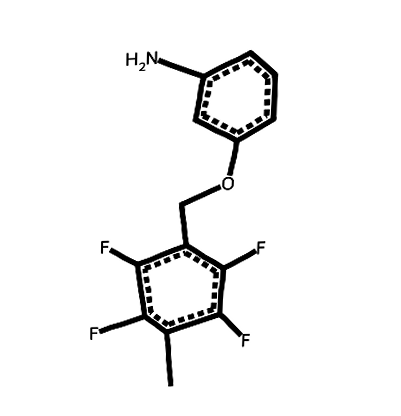 Cc1c(F)c(F)c(COc2cccc(N)c2)c(F)c1F